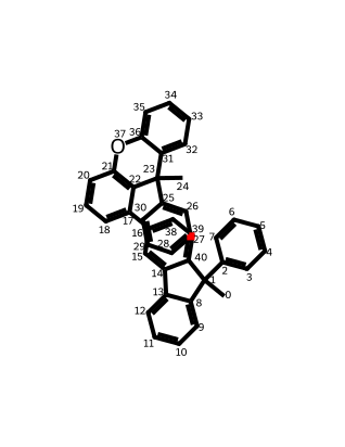 CC1(c2ccccc2)c2ccccc2-c2cc(-c3cccc4c3C(C)(c3ccccc3)c3ccccc3O4)ccc21